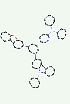 c1ccc(N(c2ccccc2)c2ccc(-c3cc(-c4ccc5c(c4)oc4ccccc45)cc(-c4ccc5c(c4)c4ccccc4n5-c4ccccc4)c3)cn2)cc1